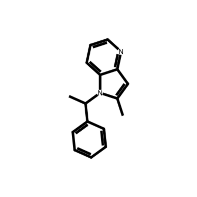 Cc1cc2ncccc2n1C(C)c1ccccc1